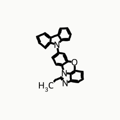 CCc1nc2cccc3c2n1-c1ccc(-n2c4ccccc4c4ccccc42)cc1O3